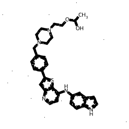 CC(O)OCCN1CCN(Cc2ccc(-c3cc4nccc(Nc5ccc6[nH]ccc6c5)c4s3)cc2)CC1